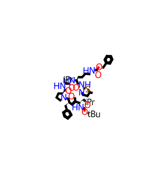 C/C(=C\[C@H](Cc1ccccc1)C(=O)N1CCC[C@H]1C(=O)N[C@H](C(=O)N[C@@H](CCCCNC(=O)OCc1ccccc1)C(=O)NC1=NCCC(C)S1)C(C)C)[C@H](CC(C)C)NC(=O)OC(C)(C)C